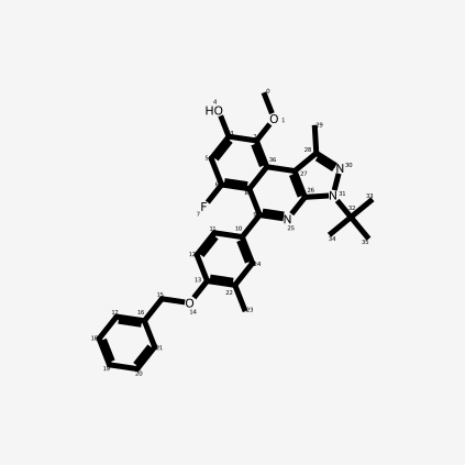 COc1c(O)cc(F)c2c(-c3ccc(OCc4ccccc4)c(C)c3)nc3c(c(C)nn3C(C)(C)C)c12